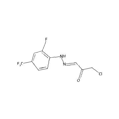 O=C(C=NNc1ccc(C(F)(F)F)cc1F)CCl